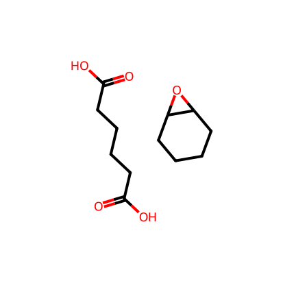 C1CCC2OC2C1.O=C(O)CCCCC(=O)O